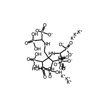 O=P([O-])([O-])C(NC(CNC(P(=O)([O-])[O-])P(=O)(O)O)(C(P(=O)(O)O)P(=O)(O)O)C(P(=O)(O)O)P(=O)(O)O)P(=O)([O-])[O-].[K+].[K+].[K+].[K+].[K+].[K+]